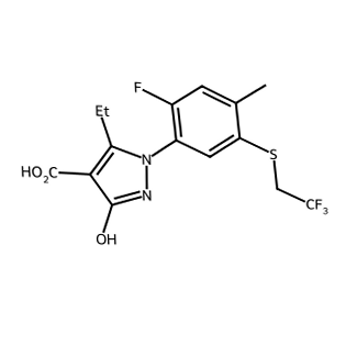 CCc1c(C(=O)O)c(O)nn1-c1cc(SCC(F)(F)F)c(C)cc1F